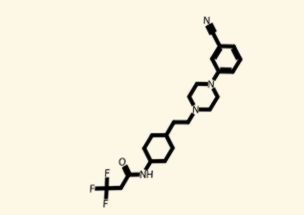 N#Cc1cccc(N2CCN(CCC3CCC(NC(=O)CC(F)(F)F)CC3)CC2)c1